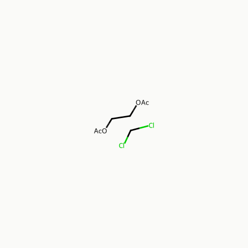 CC(=O)OCCOC(C)=O.ClCCl